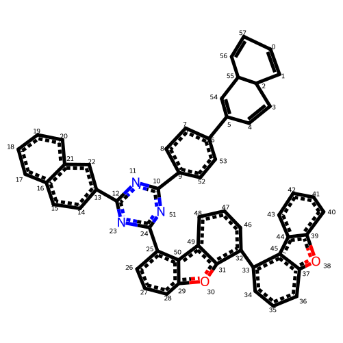 C1=CC2C=CC(c3ccc(-c4nc(-c5ccc6ccccc6c5)nc(-c5cccc6oc7c(-c8cccc9oc%10ccccc%10c89)cccc7c56)n4)cc3)=CC2C=C1